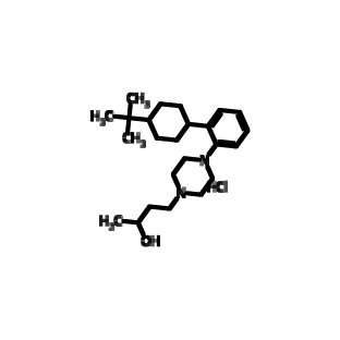 CC(O)CCN1CCN(c2ccccc2C2CCC(C(C)(C)C)CC2)CC1.Cl